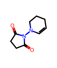 O=C1CCC(=O)N1N1C=CCCC1